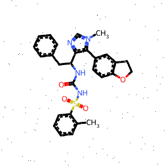 Cc1ccccc1S(=O)(=O)NC(=O)NC(Cc1ccccc1)c1ncn(C)c1-c1ccc2c(c1)CCO2